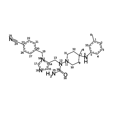 Cc1cccc(NC2(C)CCN(N(Cc3cncn3Cc3ccc(C#N)cc3)C(N)=O)CC2)c1